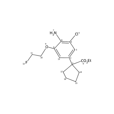 CCOC(=O)C1(c2cc(Cl)c(N)c(OCCF)c2)CCCC1